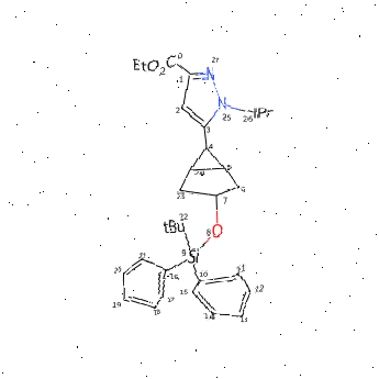 CCOC(=O)c1cc(C2C3CC(O[Si](c4ccccc4)(c4ccccc4)C(C)(C)C)CC32)n(C(C)C)n1